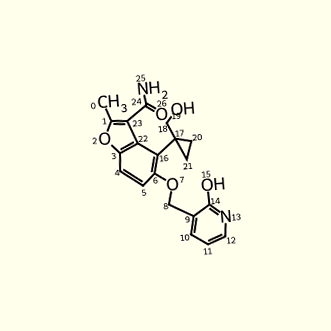 Cc1oc2ccc(OCc3cccnc3O)c(C3(CO)CC3)c2c1C(N)=O